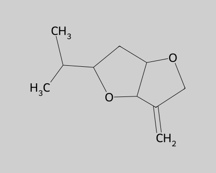 C=C1COC2CC(C(C)C)OC12